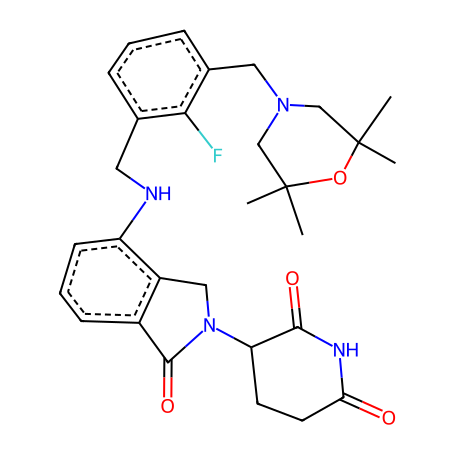 CC1(C)CN(Cc2cccc(CNc3cccc4c3CN(C3CCC(=O)NC3=O)C4=O)c2F)CC(C)(C)O1